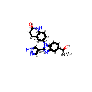 CNC(=O)c1ccc2c(c1)nc(-c1cn[nH]c1)n2-c1ccc2c(c1)CCC(=O)N2